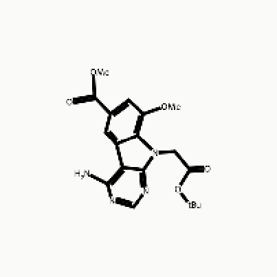 COC(=O)c1cc(OC)c2c(c1)c1c(N)ncnc1n2CC(=O)OC(C)(C)C